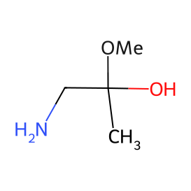 COC(C)(O)CN